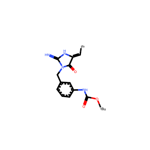 CC(C)/C=C1\NC(=N)N(Cc2cccc(NC(=O)OC(C)(C)C)c2)C1=O